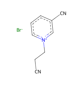 N#CCC[n+]1cccc(C#N)c1.[Br-]